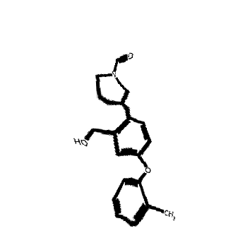 Cc1ccccc1Oc1ccc(C2CCN(C=O)C2)c(CO)c1